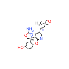 CC1(/C=C/c2cnc3c(c2)[C@]2(COC(N)=N2)c2cc(O)ccc2O3)COC1